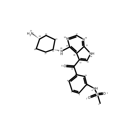 CS(=O)(=O)Nc1cccc(C(=O)c2c[nH]c3ncnc(N[C@H]4CC[C@@H](N)CC4)c23)c1